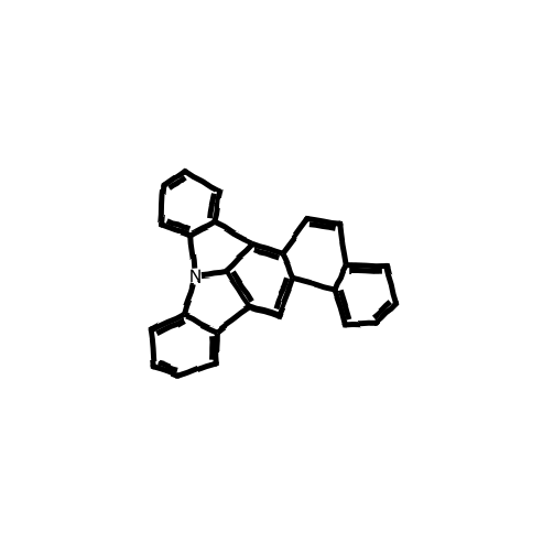 c1ccc2c(c1)ccc1c2cc2c3ccccc3n3c4ccccc4c1c23